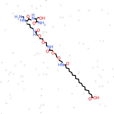 NCN[C@@H](CCCCNC(=O)COCCOCCNC(=O)COCCOCCNC(=O)CCCCCCCCCCCCCCCCC(=O)O)C(=O)CN[C@@H](CO)C(N)=O